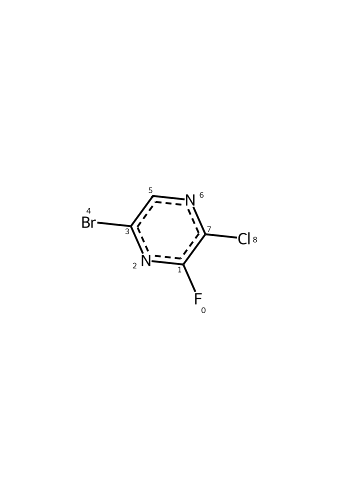 Fc1nc(Br)cnc1Cl